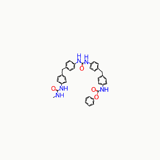 CNC(=O)Nc1ccc(Cc2ccc(NC(=O)Nc3ccc(Cc4ccc(NC(=O)Oc5ccccc5)cc4)cc3)cc2)cc1